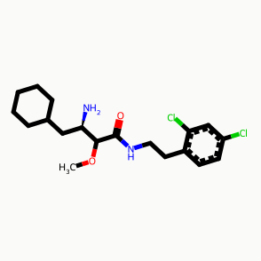 COC(C(=O)NCCc1ccc(Cl)cc1Cl)[C@H](N)CC1CCCCC1